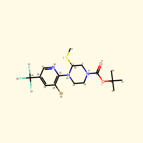 CS[C@H]1CN(C(=O)OC(C)(C)C)CCN1c1ncc(C(F)(F)F)cc1Br